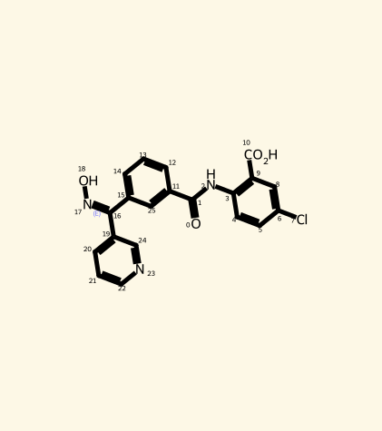 O=C(Nc1ccc(Cl)cc1C(=O)O)c1cccc(/C(=N\O)c2cccnc2)c1